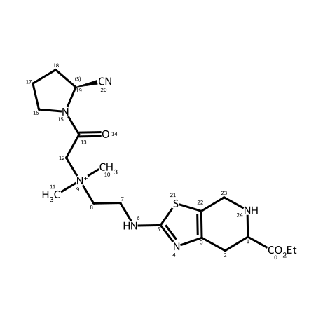 CCOC(=O)C1Cc2nc(NCC[N+](C)(C)CC(=O)N3CCC[C@H]3C#N)sc2CN1